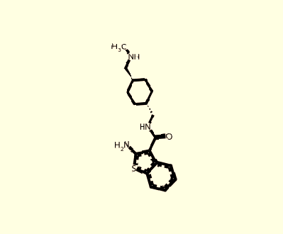 CNC[C@H]1CC[C@H](CNC(=O)c2c(N)sc3ccccc23)CC1